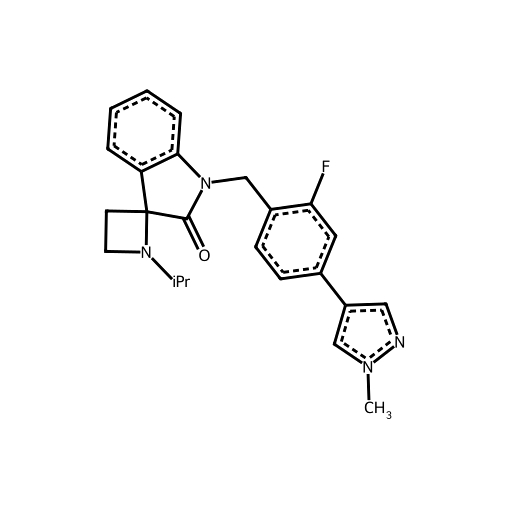 CC(C)N1CCC12C(=O)N(Cc1ccc(-c3cnn(C)c3)cc1F)c1ccccc12